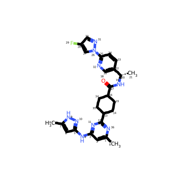 Cc1cc(Nc2cc(C)[nH]n2)nc(C2CCC(C(=O)N[C@@H](C)c3ccc(-n4cc(F)cn4)nc3)CC2)n1